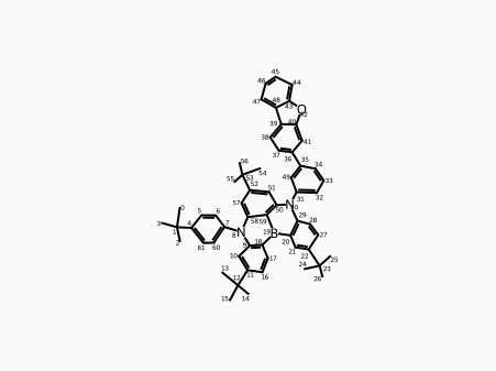 CC(C)(C)c1ccc(N2c3cc(C(C)(C)C)ccc3B3c4cc(C(C)(C)C)ccc4N(c4cccc(-c5ccc6c(c5)oc5ccccc56)c4)c4cc(C(C)(C)C)cc2c43)cc1